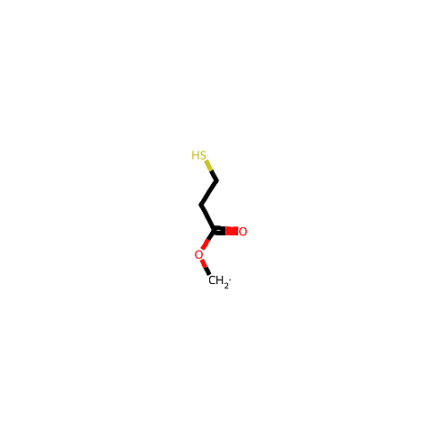 [CH2]OC(=O)CCS